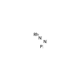 [N].[N].[P].[Rh]